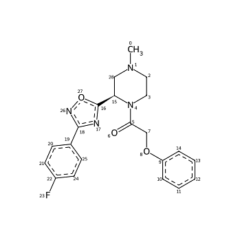 CN1CCN(C(=O)COc2ccccc2)[C@@H](c2nc(-c3ccc(F)cc3)no2)C1